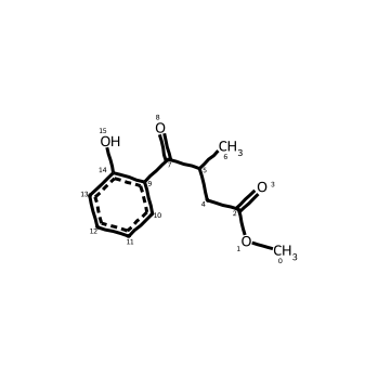 COC(=O)CC(C)C(=O)c1ccccc1O